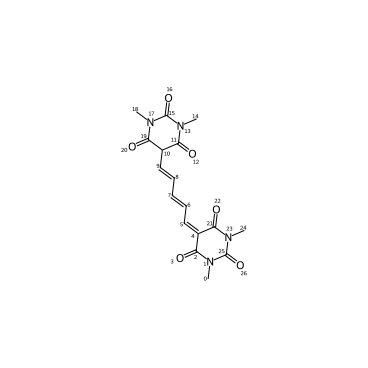 CN1C(=O)C(=CC=CC=CC2C(=O)N(C)C(=O)N(C)C2=O)C(=O)N(C)C1=O